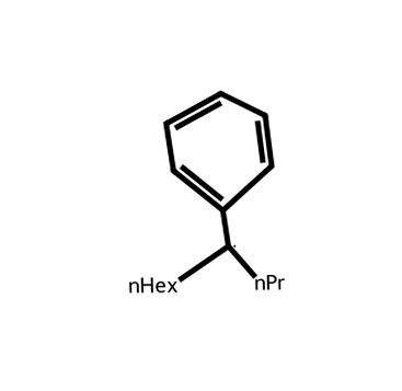 CCCCCC[C](CCC)c1ccccc1